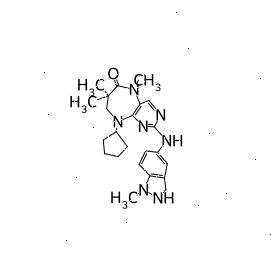 CN1NCc2cc(Nc3ncc4c(n3)N(C3CCCC3)CC(C)(C)C(=O)N4C)ccc21